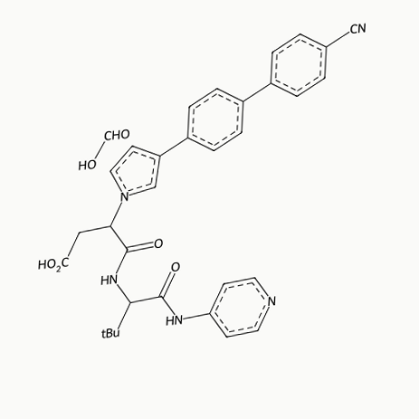 CC(C)(C)C(NC(=O)C(CC(=O)O)n1ccc(-c2ccc(-c3ccc(C#N)cc3)cc2)c1)C(=O)Nc1ccncc1.O=CO